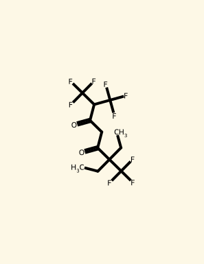 CCC(CC)(C(=O)CC(=O)C(C(F)(F)F)C(F)(F)F)C(F)(F)F